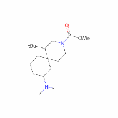 COC(=O)N1CCC2(CCCC(N(C)C)C2)C(C(C)(C)C)C1